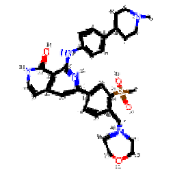 CN1CCC(c2ccc(Nc3nc(-c4ccc(CN5CCOCC5)c(S(C)(=O)=O)c4)cc4c3C(=O)[N]C=C4)cc2)CC1